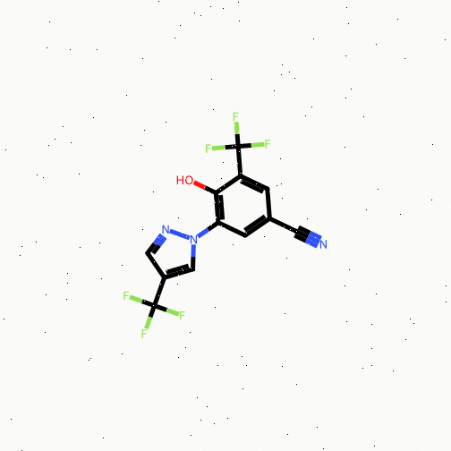 N#Cc1cc(-n2cc(C(F)(F)F)cn2)c(O)c(C(F)(F)F)c1